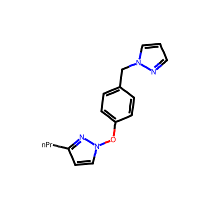 CCCc1ccn(Oc2ccc(Cn3cccn3)cc2)n1